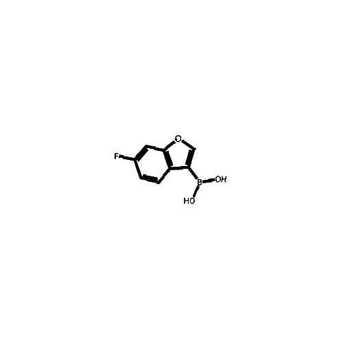 OB(O)c1coc2cc(F)ccc12